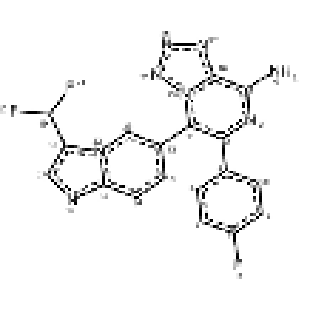 Nc1nc(-c2ccc(F)cc2)c(-c2ccc3ncc(C(F)F)n3c2)n2nnnc12